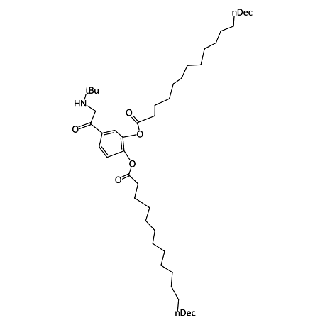 CCCCCCCCCCCCCCCCCCCCCC(=O)Oc1ccc(C(=O)CNC(C)(C)C)cc1OC(=O)CCCCCCCCCCCCCCCCCCCCC